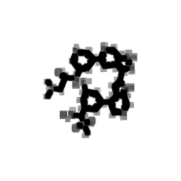 CN(C)CC(=O)Nc1cncc(-c2cc3c(-c4cc5c(-c6cc(F)cc(C(N)S(C)(=O)=O)c6)cncc5[nH]4)n[nH]c3cn2)c1